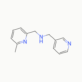 Cc1cccc(CNCc2cccnc2)n1